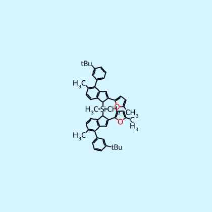 Cc1ccc(C2=Cc3c(ccc(C)c3-c3cccc(C(C)(C)C)c3)C2[Si](C)(C)C2C(c3ccc(C)o3)=Cc3c2ccc(C)c3-c2cccc(C(C)(C)C)c2)o1